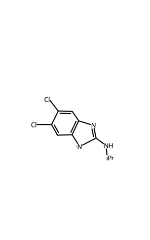 CC(C)NC1=Nc2cc(Cl)c(Cl)cc2[N]1